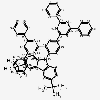 CC(C)(C)c1ccc2c(c1)c1cc(C(C)(C)C)ccc1n2-c1ccc(-c2cc(-c3ccccc3)nc(-c3ccccc3)n2)cc1-c1nc(-c2ccccc2)cc(-c2ccccc2)n1